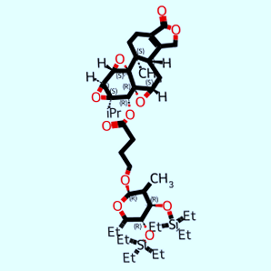 CCC1O[C@@H](OCCCC(=O)O[C@@H]2[C@@]3(C(C)C)O[C@H]3[C@@H]3O[C@]34[C@]23O[C@H]3C[C@H]2C3=C(CC[C@@]24C)C(=O)OC3)C(C)[C@@H](O[Si](CC)(CC)CC)[C@@H]1O[Si](CC)(CC)CC